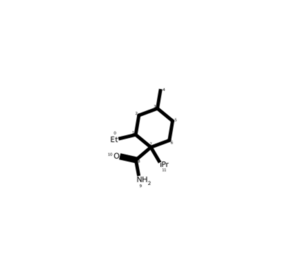 CCC1CC(C)CCC1(C(N)=O)C(C)C